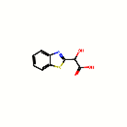 O=C(O)C(O)c1nc2ccccc2s1